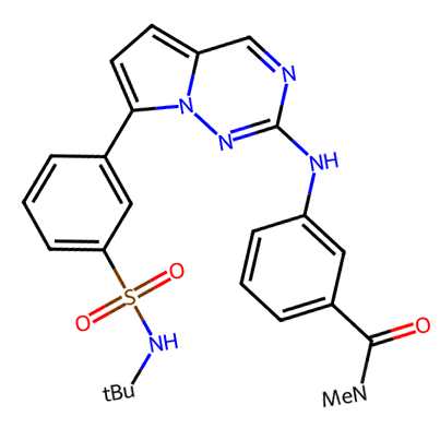 CNC(=O)c1cccc(Nc2ncc3ccc(-c4cccc(S(=O)(=O)NC(C)(C)C)c4)n3n2)c1